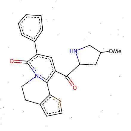 COC1CNC(C(=O)c2cc(-c3ccccc3)c(=O)n3c2-c2sccc2CC3)C1